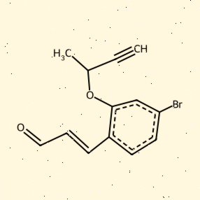 C#CC(C)Oc1cc(Br)ccc1C=CC=O